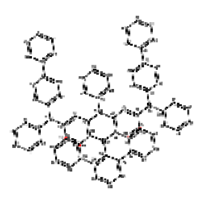 c1ccc(-c2ccc(N(c3ccccc3)c3ccc4c(c3)N(c3ccccc3)c3cc(N(c5ccccc5)c5ccc(-c6ccccc6)cc5)ccc3B4c3c(-c4ccccc4)cccc3-c3ccccc3)cc2)cc1